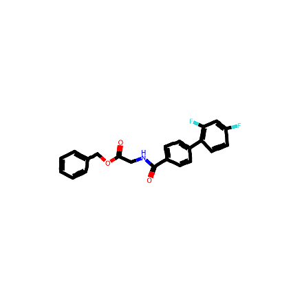 O=C(CNC(=O)c1ccc(-c2ccc(F)cc2F)cc1)OCc1ccccc1